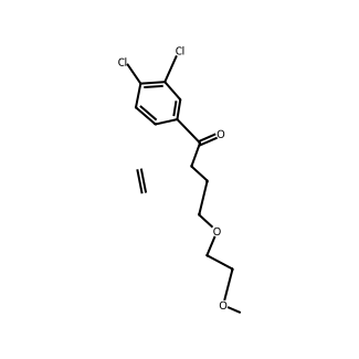 C=C.COCCOCCCC(=O)c1ccc(Cl)c(Cl)c1